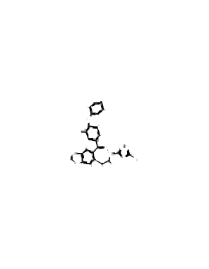 CCCc1nnc(N2N=C(c3ccc(Nc4ccccc4)c(C)c3)c3cc4c(cc3CC2C)OCO4)s1